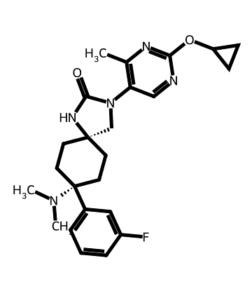 Cc1nc(OC2CC2)ncc1N1C[C@]2(CC[C@@](c3cccc(F)c3)(N(C)C)CC2)NC1=O